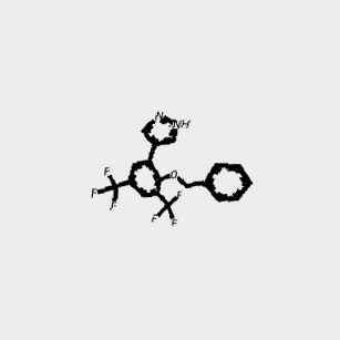 FC(F)(F)c1cc(-c2cn[nH]c2)c(OCc2ccccc2)c(C(F)(F)F)c1